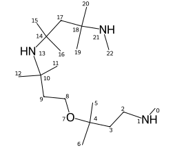 CNCCC(C)(C)OCCC(C)(C)NC(C)(C)CC(C)(C)NC